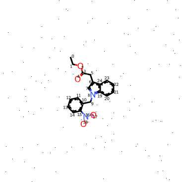 CCOC(=O)Cc1cn(Cc2ccccc2[N+](=O)[O-])c2ccccc12